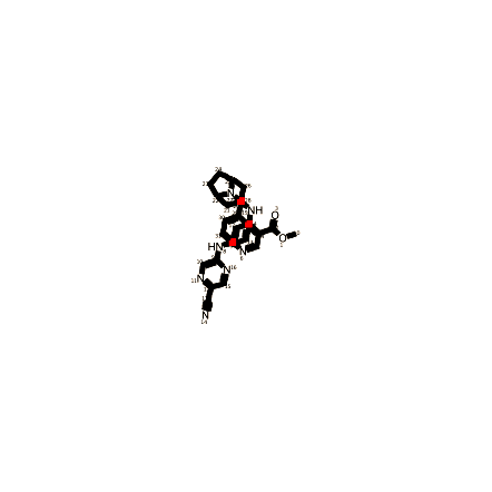 COC(=O)c1cnc(Nc2cnc(C#N)cn2)cc1NC1CC2CCC(C1)N2Cc1ccccn1